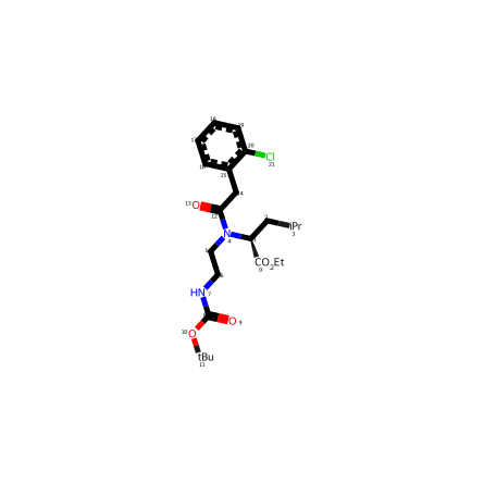 CCOC(=O)[C@H](CC(C)C)N(CCNC(=O)OC(C)(C)C)C(=O)Cc1ccccc1Cl